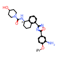 CC(C)Oc1ccc(-c2nc(-c3cccc4c3CCC[C@H]4NC(=O)N3CCC(O)CC3)no2)cc1N